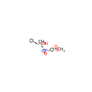 COC(=O)c1ccc(CCN2C(=O)CC[C@@H]2/C=C/[C@@H](O)C(C)CC#Cc2ccccc2)cc1